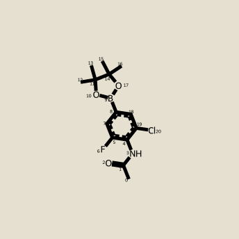 CC(=O)Nc1c(F)cc(B2OC(C)(C)C(C)(C)O2)cc1Cl